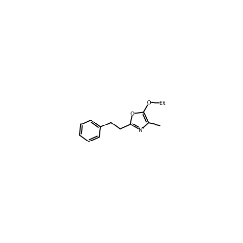 CCOc1oc(CCc2ccccc2)nc1C